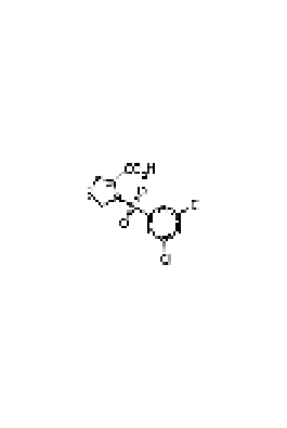 O=C(O)[C@H]1CSCN1S(=O)(=O)c1cc(Cl)cc(Cl)c1